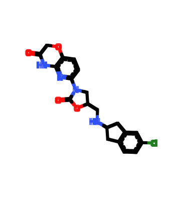 O=C1COc2ccc(N3CC(CNC4Cc5ccc(Cl)cc5C4)OC3=O)nc2N1